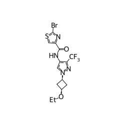 CCO[C@H]1C[C@@H](n2cc(NC(=O)c3csc(Br)n3)c(C(F)(F)F)n2)C1